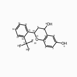 Oc1ccc2c(c1)C(O)CC(c1ccccc1C(F)(F)F)O2